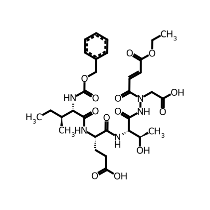 CCOC(=O)/C=C/C(=O)N(CC(=O)O)NC(=O)[C@@H](NC(=O)[C@H](CCC(=O)O)NC(=O)[C@@H](NC(=O)OCc1ccccc1)[C@@H](C)CC)[C@@H](C)O